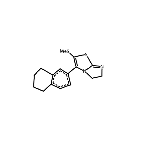 CSC1=C(c2ccc3c(c2)CCCC3)N2CCN=C2S1